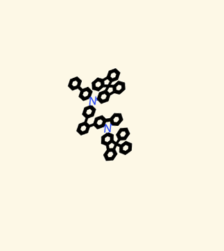 c1ccc(-c2ccc(N(c3ccc(-c4ccccc4-c4ccc5c6ccccc6n(-c6ccc7c(c6)C(c6ccccc6)(c6ccccc6)c6ccccc6-7)c5c4)cc3)c3ccc4c(c3)C3(c5ccccc5-c5ccccc53)c3ccccc3-4)cc2)cc1